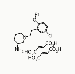 CCOc1ccc(Cl)cc1CCN1CCC[C@H](N)C1.O=C(O)/C=C/C(=O)O.O=C(O)/C=C/C(=O)O